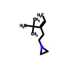 CC=C(CCN1CC1)C(C)(C)[SiH3]